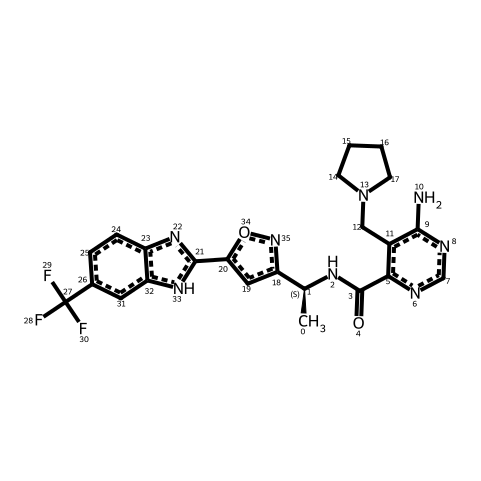 C[C@H](NC(=O)c1ncnc(N)c1CN1CCCC1)c1cc(-c2nc3ccc(C(F)(F)F)cc3[nH]2)on1